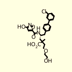 CC(CCOCCO)(C[C@@H](Cc1ccc(-c2cccc(Cl)c2)cc1)NC(=O)c1cc(O)no1)C(=O)O